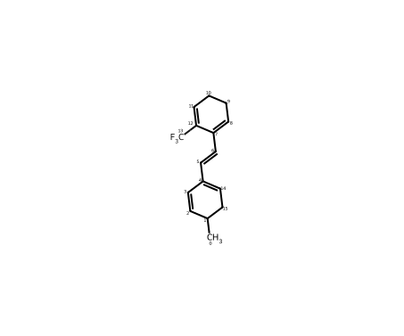 CC1C=CC(/C=C/C2=CCCC=C2C(F)(F)F)=CC1